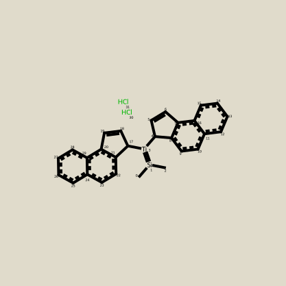 C[Si](C)=[Ti]([CH]1C=Cc2c1ccc1ccccc21)[CH]1C=Cc2c1ccc1ccccc21.Cl.Cl